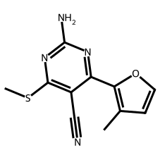 CSc1nc(N)nc(-c2occc2C)c1C#N